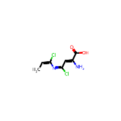 C\C=C(Cl)/N=C(Cl)\C=C(/N)C(=O)O